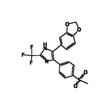 CS(=O)(=O)c1ccc(-c2nc(C(F)(F)F)[nH]c2-c2ccc3c(c2)OCO3)cc1